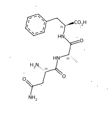 C[C@H](NC(=O)[C@@H](N)CC(N)=O)C(=O)N[C@@H](Cc1ccccc1)C(=O)O